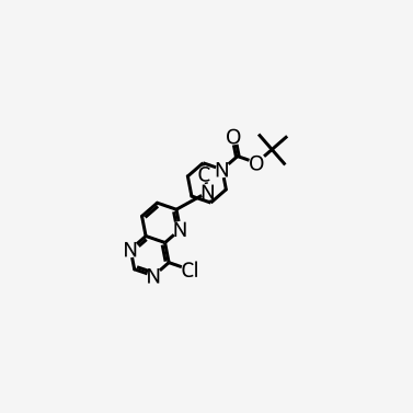 CC(C)(C)OC(=O)N1CC2CCC1CN2c1ccc2ncnc(Cl)c2n1